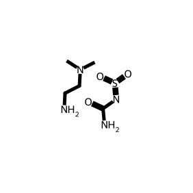 CN(C)CCN.NC(=O)N=S(=O)=O